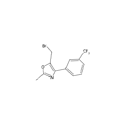 Cc1nc(-c2cccc(C(F)(F)F)c2)c(CBr)o1